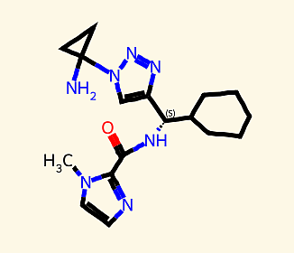 Cn1ccnc1C(=O)N[C@H](c1cn(C2(N)CC2)nn1)C1CCCCC1